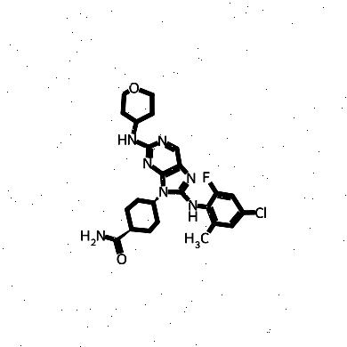 Cc1cc(Cl)cc(F)c1Nc1nc2cnc(NC3CCOCC3)nc2n1[C@H]1CC[C@H](C(N)=O)CC1